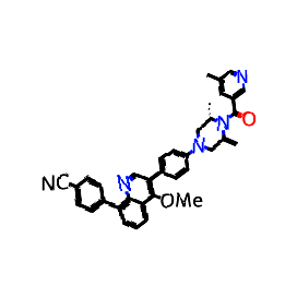 COc1c(-c2ccc(N3CC(C)N(C(=O)c4cncc(C)c4)[C@@H](C)C3)cc2)cnc2c(-c3ccc(C#N)cc3)cccc12